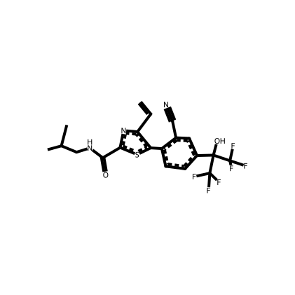 C=Cc1nc(C(=O)NCC(C)C)sc1-c1ccc(C(O)(C(F)(F)F)C(F)(F)F)cc1C#N